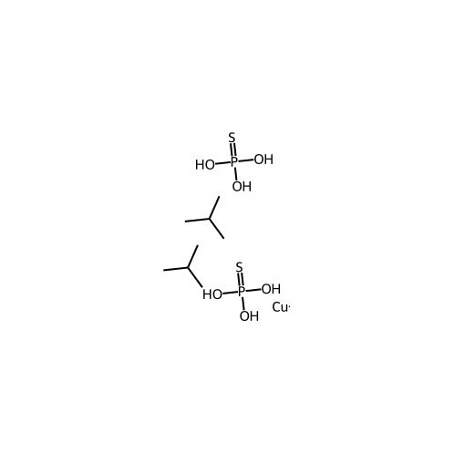 CC(C)C.CC(C)C.OP(O)(O)=S.OP(O)(O)=S.[Cu]